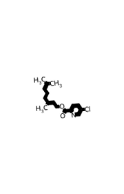 CC(C)=CCC/C(C)=C/COC(=O)c1ccc(Cl)cn1